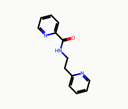 O=C(N[CH]Cc1ccccn1)c1ccccn1